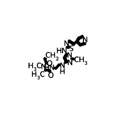 C=CC(=O)N(C)C(C)C(=O)NCCNc1cc(Nc2ncc(-c3ccncc3)s2)nc(C)n1